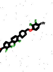 CCCc1ccc(OCC2CCC(c3ccc(-c4ccc(C5CO5)c(F)c4F)c(F)c3F)CC2)c(F)c1F